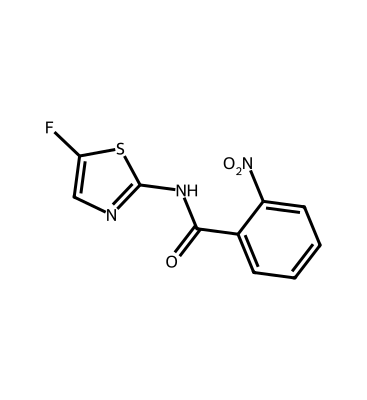 O=C(Nc1ncc(F)s1)c1ccccc1[N+](=O)[O-]